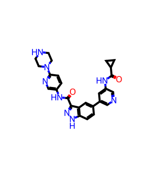 O=C(Nc1ccc(N2CCNCC2)nc1)c1n[nH]c2ccc(-c3cncc(NC(=O)C4CC4)c3)cc12